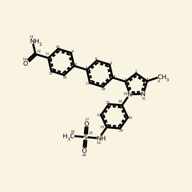 Cc1cc(-c2ccc(-c3ccc(C(N)=O)cc3)cc2)n(-c2ccc(NS(C)(=O)=O)cc2)n1